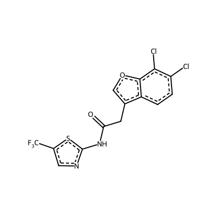 O=C(Cc1coc2c(Cl)c(Cl)ccc12)Nc1ncc(C(F)(F)F)s1